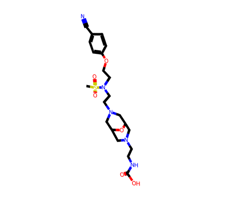 CS(=O)(=O)N(CCOc1ccc(C#N)cc1)CCN1CC2CN(CCNC(=O)O)CC(C1)O2